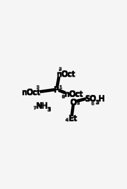 CCCCCCCCP(CCCCCCCC)CCCCCCCC.CCOS(=O)(=O)O.N